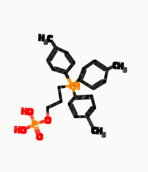 Cc1ccc([PH](CCCOP(=O)(O)O)(c2ccc(C)cc2)c2ccc(C)cc2)cc1